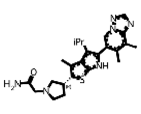 Cc1c(-c2[nH]c3sc([C@@H]4CCN(CC(N)=O)C4)c(C)c3c2C(C)C)cn2ncnc2c1C